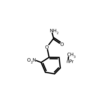 CCCC.NC(=O)Oc1ccccc1[N+](=O)[O-]